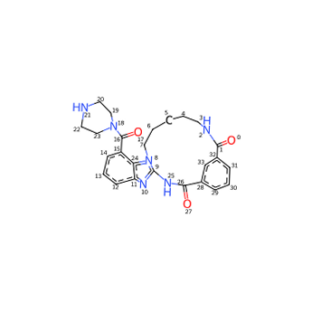 O=C1NCCCCCn2c(nc3cccc(C(=O)N4CCNCC4)c32)NC(=O)c2cccc1c2